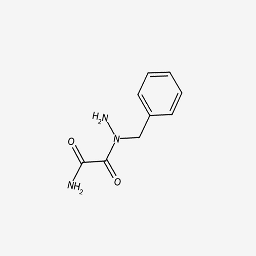 NC(=O)C(=O)N(N)Cc1ccccc1